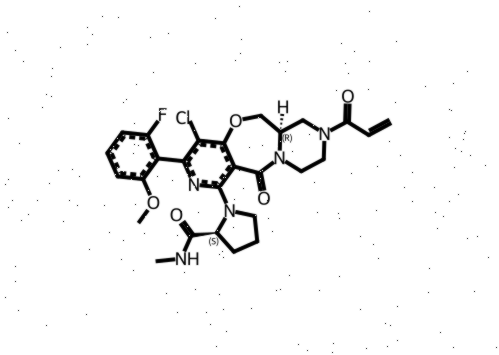 C=CC(=O)N1CCN2C(=O)c3c(N4CCC[C@H]4C(=O)NC)nc(-c4c(F)cccc4OC)c(Cl)c3OC[C@H]2C1